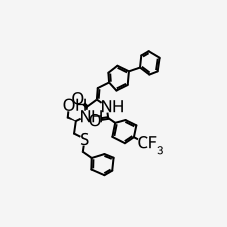 O=C(N[C@H](CO)CSCc1ccccc1)C(=Cc1ccc(-c2ccccc2)cc1)NC(=O)c1ccc(C(F)(F)F)cc1